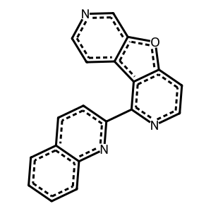 c1ccc2nc(-c3nccc4oc5cnccc5c34)ccc2c1